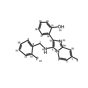 Cc1ccn2c(NCc3ccccc3F)c(-c3ccccc3O)nc2c1